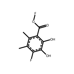 Cc1c(C)c(C(=O)OF)c(O)c(O)c1F